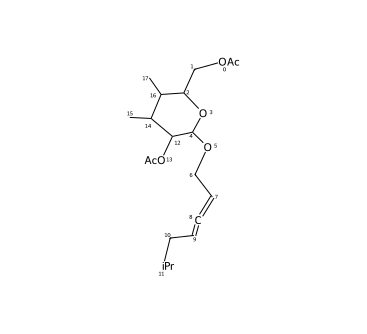 CC(=O)OCC1OC(OCC=C=CCC(C)C)C(OC(C)=O)C(C)C1C